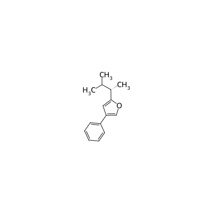 CC(C)[C@H](C)c1cc(-c2ccccc2)co1